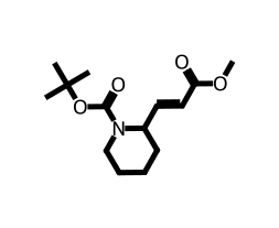 COC(=O)C=CC1CCCCN1C(=O)OC(C)(C)C